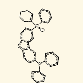 O=P(C1=CCCC=C1)(c1ccccc1)c1ccc2sc3ccc(P(c4ccccc4)c4ccccc4)cc3c2c1